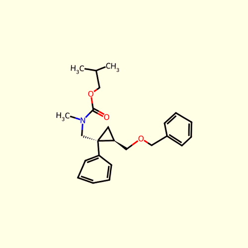 CC(C)COC(=O)N(C)C[C@]1(c2ccccc2)C[C@H]1COCc1ccccc1